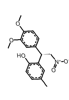 COc1ccc([C@H](C[N+](=O)[O-])c2cc(C)ccc2O)cc1OC